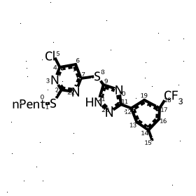 CCCCCSc1nc(Cl)cc(Sc2nc(-c3cc(C)cc(C(F)(F)F)c3)n[nH]2)n1